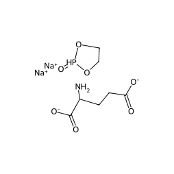 NC(CCC(=O)[O-])C(=O)[O-].O=[PH]1OCCO1.[Na+].[Na+]